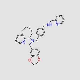 c1ccc(CNCc2ccc(CN(Cc3ccc4c(c3)OCCO4)C3CCCCc4cccnc43)cc2)nc1